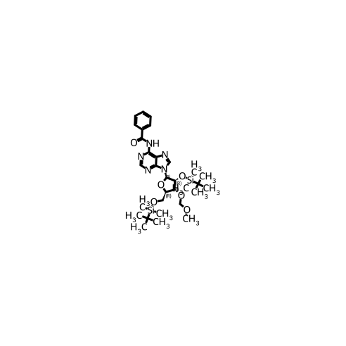 COCO[C@H]1[C@@H](O[Si](C)(C)C(C)(C)C)[C@H](n2cnc3c(NC(=O)c4ccccc4)ncnc32)O[C@@H]1CO[Si](C)(C)C(C)(C)C